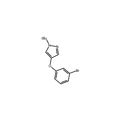 CC(C)(C)n1cc(Oc2cccc(Br)c2)cn1